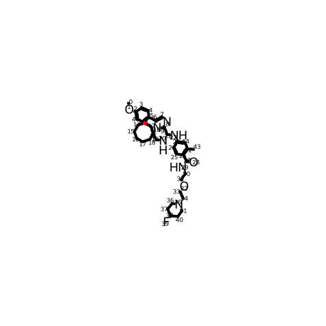 COc1ccc(-c2cnc3n2C2(CCCCCCC2)CNC3Nc2ccc(C(=O)NCCOCCN3CCC(F)CC3)c(C)c2)cc1